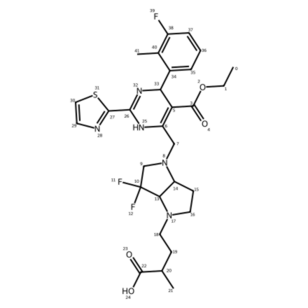 CCOC(=O)C1=C(CN2CC(F)(F)C3C2CCN3CCC(C)C(=O)O)NC(c2nccs2)=NC1c1cccc(F)c1C